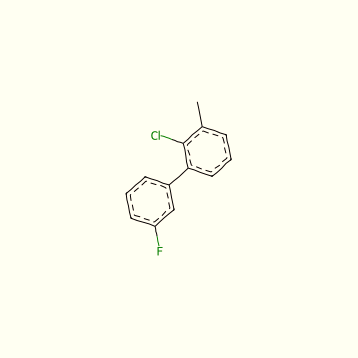 Cc1cccc(-c2cccc(F)c2)c1Cl